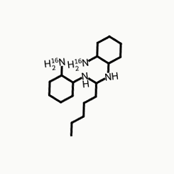 CCCCCC(NC1CCCCC1[16NH2])NC1CCCCC1[16NH2]